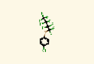 FC(F)(F)C(F)(F)C(F)(F)C(F)(F)Sc1ccc(Cl)cc1